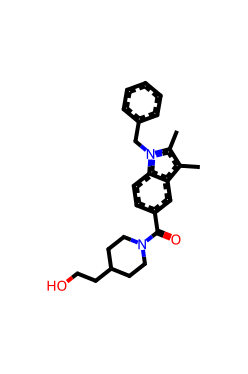 Cc1c(C)n(Cc2ccccc2)c2ccc(C(=O)N3CCC(CCO)CC3)cc12